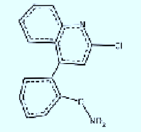 O=[N+]([O-])Oc1ccccc1-c1cc(Cl)nc2ccccc12